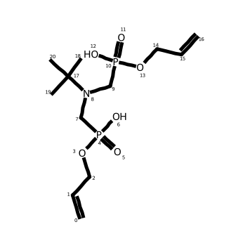 C=CCOP(=O)(O)CN(CP(=O)(O)OCC=C)C(C)(C)C